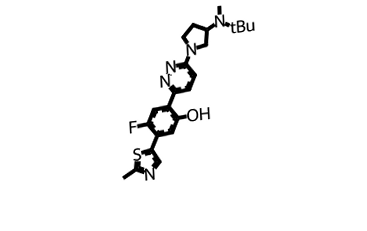 Cc1ncc(-c2cc(O)c(-c3ccc(N4CCC(N(C)C(C)(C)C)C4)nn3)cc2F)s1